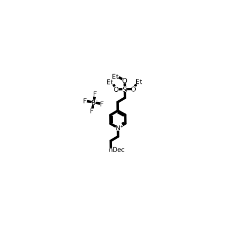 CCCCCCCCCCCC[n+]1ccc(CC[Si](OCC)(OCC)OCC)cc1.F[B-](F)(F)F